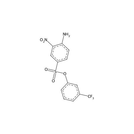 Nc1ccc(S(=O)(=O)Oc2cccc(C(F)(F)F)c2)cc1[N+](=O)[O-]